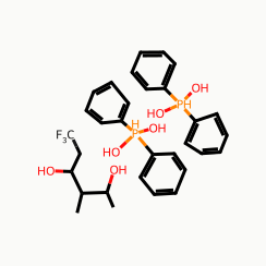 CC(O)C(C)C(O)CC(F)(F)F.O[PH](O)(c1ccccc1)c1ccccc1.O[PH](O)(c1ccccc1)c1ccccc1